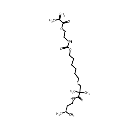 C=C(C)C(=O)OCCNC(=O)OCCCCCCSCC(C)(C)C(=O)NCCN(C)C